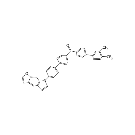 O=C(c1ccc(-c2ccc(-n3ccc4cc5ccoc5cc43)cc2)cc1)c1ccc(-c2ccc(C(F)(F)F)c(C(F)(F)F)c2)cc1